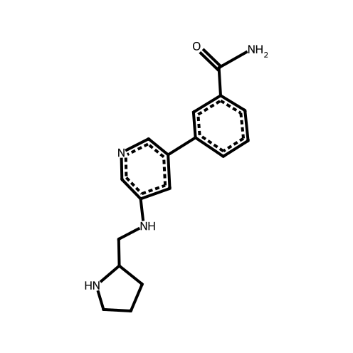 NC(=O)c1cccc(-c2cncc(NCC3CCCN3)c2)c1